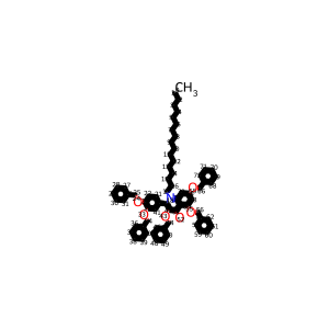 CCCCCCCCCCCCCCCCCCn1c(-c2ccc(OCc3ccccc3)c(OCc3ccccc3)c2)c(OCc2ccccc2)c(=O)c2c(OCc3ccccc3)cc(OCc3ccccc3)cc21